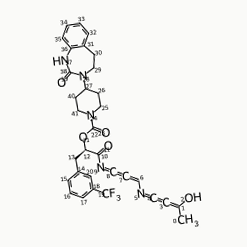 CC(O)=C=C=NC=C=C=NC(=O)[C@@H](Cc1cccc(C(F)(F)F)c1)OC(=O)N1CCC(N2CCc3ccccc3NC2=O)CC1